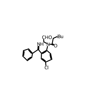 CCC(C)CC(=O)N(CC=O)c1ccc(Cl)cc1C(=N)c1ccccc1